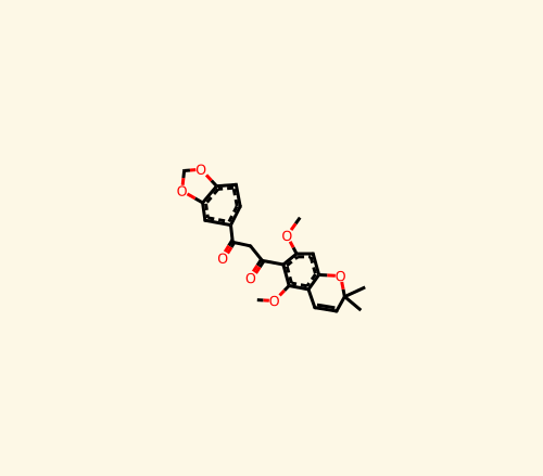 COc1cc2c(c(OC)c1C(=O)CC(=O)c1ccc3c(c1)OCO3)C=CC(C)(C)O2